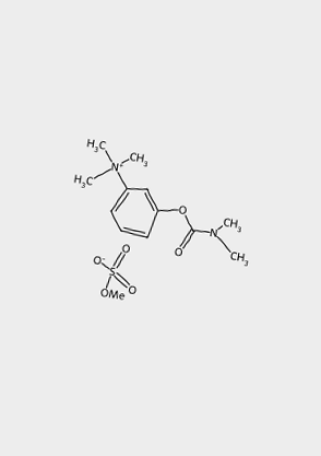 CN(C)C(=O)Oc1cccc([N+](C)(C)C)c1.COS(=O)(=O)[O-]